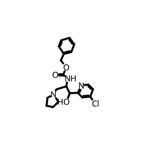 O=C(NC(CN1CCCC1)C(O)c1cc(Cl)ccn1)OCc1ccccc1